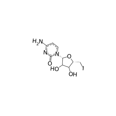 Nc1ccn([C@@H]2O[C@H](CI)C(O)C2O)c(=O)n1